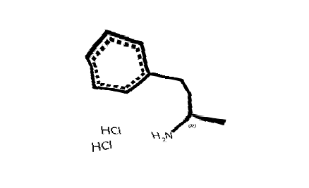 C[C@@H](N)Cc1ccccc1.Cl.Cl